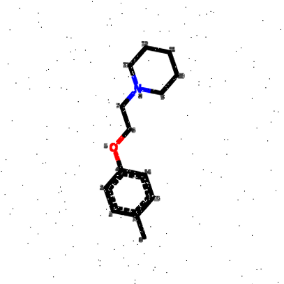 Cc1ccc(OCCN2CCCCC2)cc1